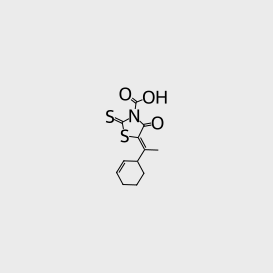 CC(=C1SC(=S)N(C(=O)O)C1=O)C1C=CCCC1